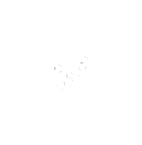 CCN(CC)c1ccc(C(=O)c2cc(-c3ccc(OC)cc3)c3cc(C(F)(F)F)ccn23)cc1